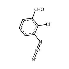 [N-]=[N+]=Nc1cccc(C=O)c1Cl